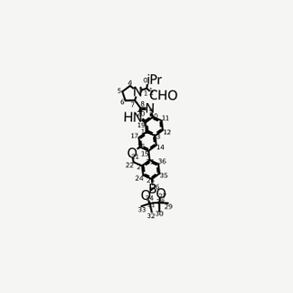 CC(C)[C](C=O)N1CCCC1c1nc2ccc3cc4c(cc3c2[nH]1)OCc1cc(B2OC(C)(C)C(C)(C)O2)ccc1-4